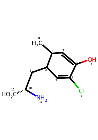 CC1C=C(O)C(Cl)=CC1C[C@H](N)C(=O)O